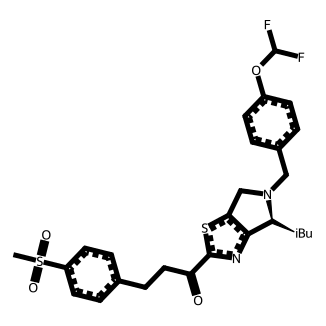 CC[C@H](C)[C@H]1c2nc(C(=O)CCc3ccc(S(C)(=O)=O)cc3)sc2CN1Cc1ccc(OC(F)F)cc1